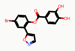 O=C(Oc1ccc(Br)cc1-c1ccno1)c1ccc(O)c(O)c1